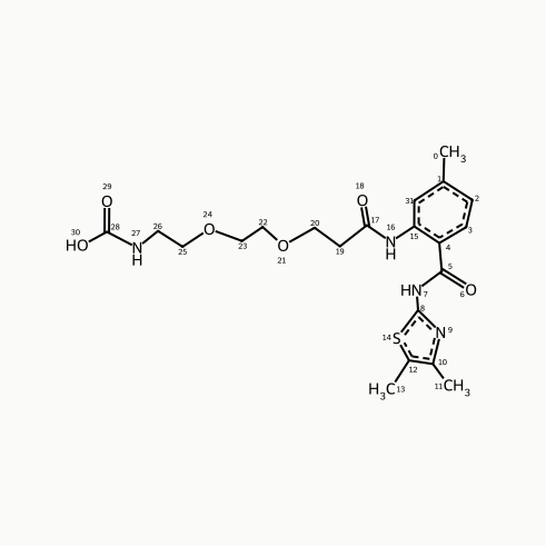 Cc1ccc(C(=O)Nc2nc(C)c(C)s2)c(NC(=O)CCOCCOCCNC(=O)O)c1